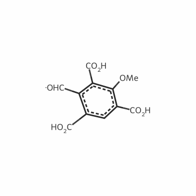 COc1c(C(=O)O)cc(C(=O)O)c([C]=O)c1C(=O)O